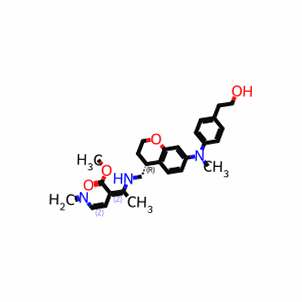 C=N/C=C\C(C(=O)OC)=C(/C)NC[C@@H]1CCOc2cc(N(C)c3ccc(CCO)cc3)ccc21